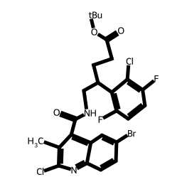 Cc1c(Cl)nc2ccc(Br)cc2c1C(=O)NCC(CCC(=O)OC(C)(C)C)c1c(F)ccc(F)c1Cl